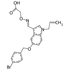 C=CCn1cc(C=NOCC(=O)O)c2cc(OCc3ccc(Br)cc3)ccc21